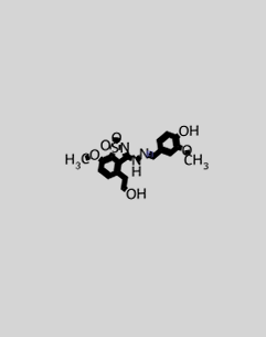 COc1cc(/C=N/NC2=NS(=O)(=O)c3c(OC)ccc(CCO)c32)ccc1O